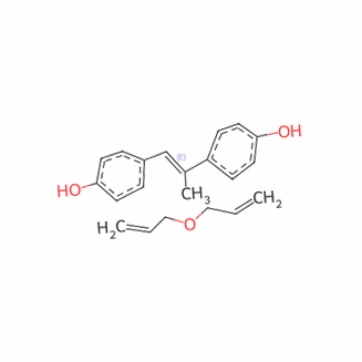 C/C(=C\c1ccc(O)cc1)c1ccc(O)cc1.C=CCOCC=C